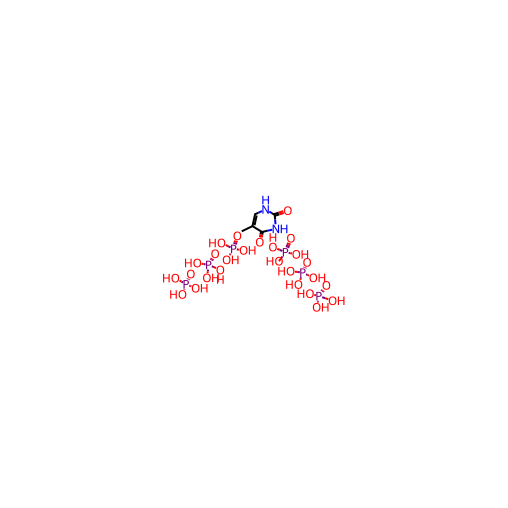 Cc1c[nH]c(=O)[nH]c1=O.O=P(O)(O)O.O=P(O)(O)O.O=P(O)(O)O.O=P(O)(O)O.O=P(O)(O)O.O=P(O)(O)O